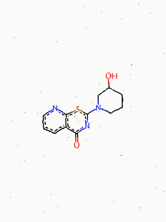 O=c1nc(N2CCCC(O)C2)sc2ncccc12